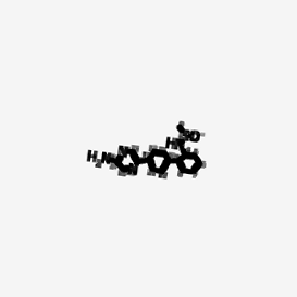 C[S+]([O-])Nc1ccccc1-c1ccc(-c2cnc(N)cn2)cc1